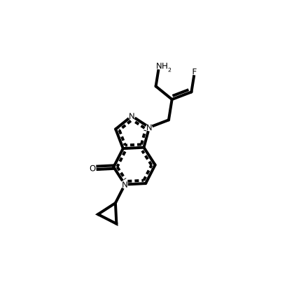 NC/C(=C\F)Cn1ncc2c(=O)n(C3CC3)ccc21